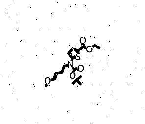 CCOC(=O)c1ccc(N(CCC=COC)C(=O)OC(C)(C)C)s1